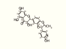 CC1Oc2ccc(C3Oc4cc(O)cc(O)c4C(=O)C3O)cc2OC1c1ccc(O)nc1